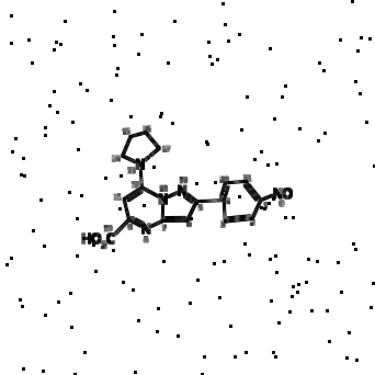 O=Nc1ccc(-c2cc3nc(C(=O)O)cc(N4CCCC4)n3n2)cc1